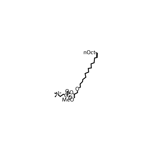 CCCCCCCC/C=C\CCCCCCCCCCCCOCC(COC)OP(=O)([O-])OCC[N+](C)(C)C